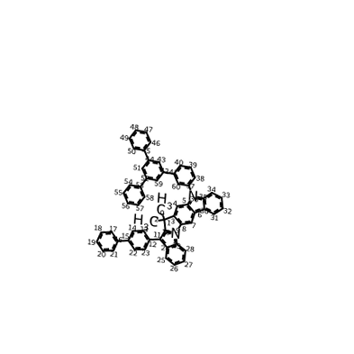 CC1(C)c2cc3c(cc2-n2c1c(-c1ccc(-c4ccccc4)cc1)c1ccccc12)c1ccccc1n3-c1cccc(-c2cc(-c3ccccc3)cc(-c3ccccc3)c2)c1